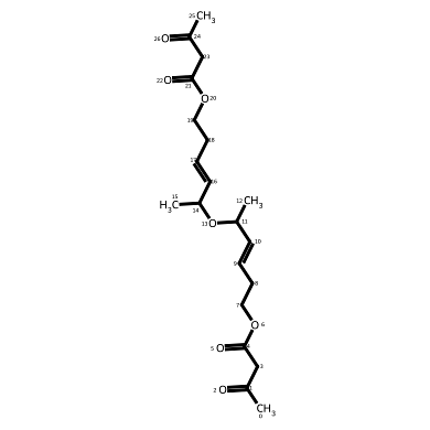 CC(=O)CC(=O)OCCC=CC(C)OC(C)C=CCCOC(=O)CC(C)=O